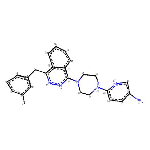 Cc1cccc(Cc2nnc(N3CCN(c4ccc(N)cn4)CC3)c3ccccc23)c1